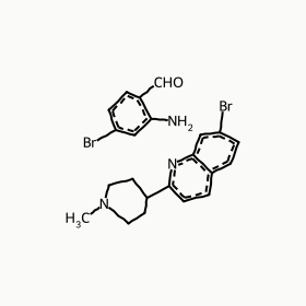 CN1CCC(c2ccc3ccc(Br)cc3n2)CC1.Nc1cc(Br)ccc1C=O